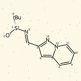 CC(C)(C)[S@@+]([O-])N=Cc1cc2ccccn2n1